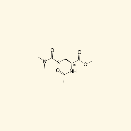 COC(=O)[C@H](CSC(=O)N(C)C)NC(C)=O